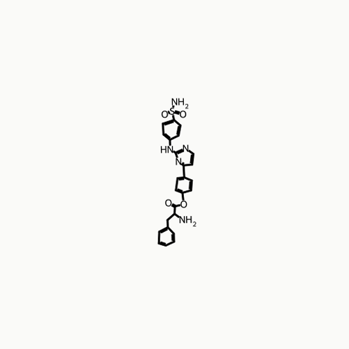 NC(Cc1ccccc1)C(=O)Oc1ccc(-c2ccnc(Nc3ccc(S(N)(=O)=O)cc3)n2)cc1